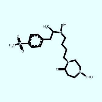 CCCN(CCCCN1CCN(C=O)CCC1=O)C(C)Cc1ccc(S(C)(=O)=O)cc1